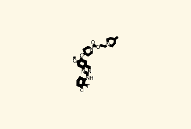 COc1cc2nc(Nc3cccc(Cl)c3F)ncc2cc1OC1CCN(C(=O)OCCN2CCC(C)CC2)CC1